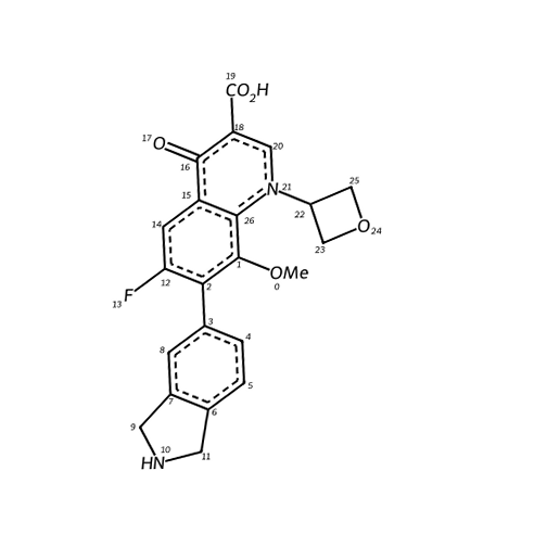 COc1c(-c2ccc3c(c2)CNC3)c(F)cc2c(=O)c(C(=O)O)cn(C3COC3)c12